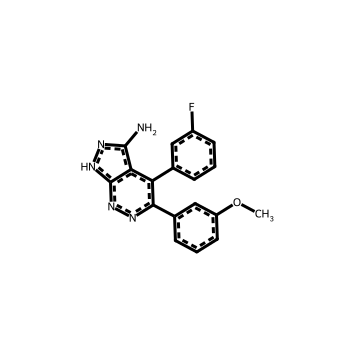 COc1cccc(-c2nnc3[nH]nc(N)c3c2-c2cccc(F)c2)c1